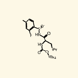 Cc1ccc([S+]([O-])NC(=O)C(CC(C)C)NC(=O)OC(C)(C)C)c(F)c1